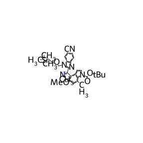 C/N=C(\c1c(OC)cc(C)c2c1ccn2C(=O)OC(C)(C)C)c1nc2ccc(C#N)cc2n1COCC[Si](C)(C)C